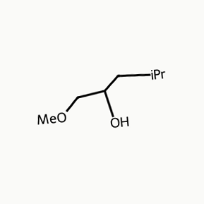 COCC(O)CC(C)C